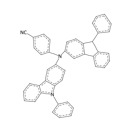 N#Cc1ccc(N(c2ccc3c(c2)-c2ccccc2C3c2ccccc2)c2ccc3c(c2)c2ccccc2n3-c2ccccc2)cc1